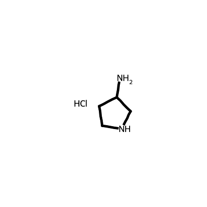 Cl.NC1CCNC1